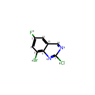 Fc1cc(Br)c2nc(Cl)ncc2c1